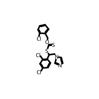 S=C(OCc1ccccc1Cl)SC(Cn1ccnc1)c1ccc(Cl)cc1Cl